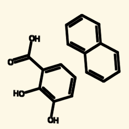 O=C(O)c1cccc(O)c1O.c1ccc2ccccc2c1